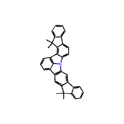 CC1(C)c2ccccc2-c2cc3c(cc21)c1cccc2c4c5c(ccc4n3c12)-c1ccccc1C5(C)C